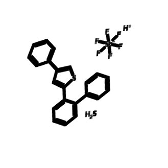 S.[F][Sb-]([F])([F])([F])([F])[F].[H+].c1ccc(-c2csc(-c3ccccc3-c3ccccc3)c2)cc1